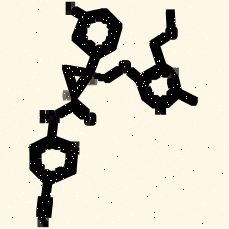 COCc1nc(C)ncc1OC[C@@]1(c2cccc(F)c2)C[C@H]1C(=O)Nc1ccc(C#N)cn1